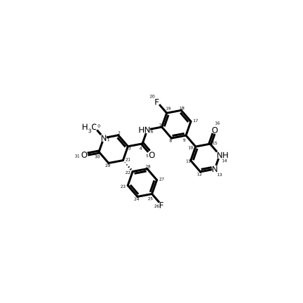 CN1C=C(C(=O)Nc2cc(-c3ccn[nH]c3=O)ccc2F)[C@H](c2ccc(F)cc2)CC1=O